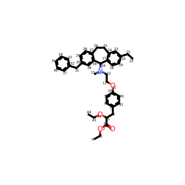 CCOC(=O)C(Cc1ccc(OCCN(C)C2c3ccc(CC)cc3CCc3ccc(Cc4ccccc4)cc32)cc1)OCC